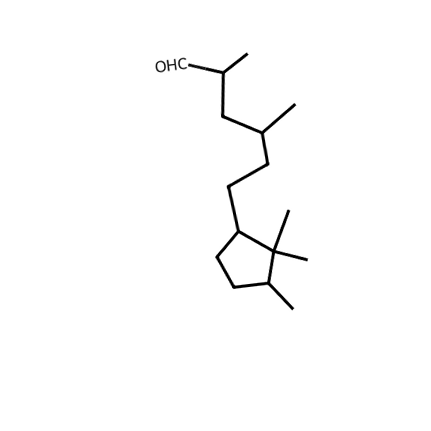 CC(C=O)CC(C)CCC1CCC(C)C1(C)C